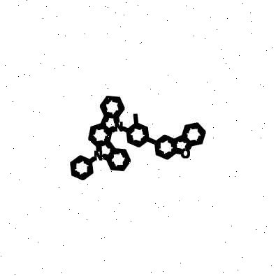 Cc1cc(-c2ccc3oc4ccccc4c3c2)ccc1-n1c2ccccc2c2ccc3c(c4ccccc4n3-c3ccccc3)c21